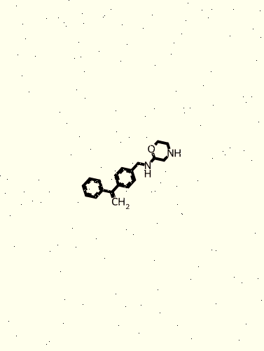 C=C(c1ccccc1)c1ccc(CNC2CNCCO2)cc1